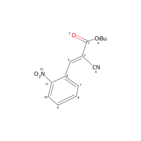 CC(C)COC(=O)/C(C#N)=C/c1ccccc1[N+](=O)[O-]